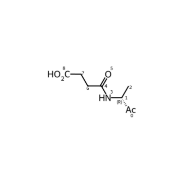 CC(=O)[C@@H](C)NC(=O)CCC(=O)O